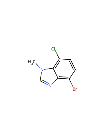 Cn1cnc2c(Br)ccc(Cl)c21